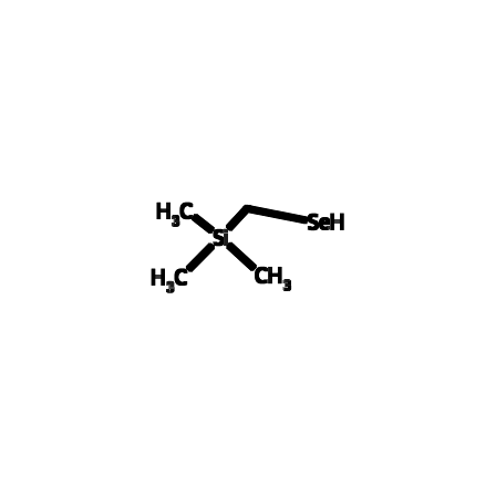 C[Si](C)(C)C[SeH]